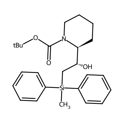 CC(C)(C)OC(=O)N1CCCC[C@H]1[C@H](O)C[Si](C)(c1ccccc1)c1ccccc1